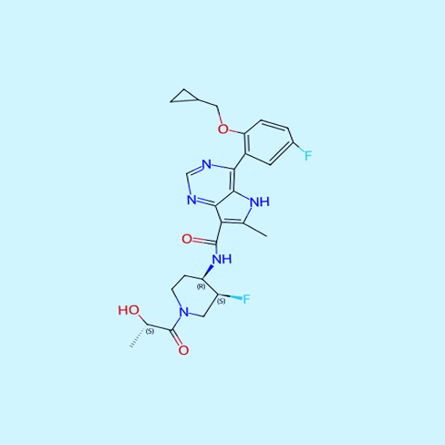 Cc1[nH]c2c(-c3cc(F)ccc3OCC3CC3)ncnc2c1C(=O)N[C@@H]1CCN(C(=O)[C@H](C)O)C[C@@H]1F